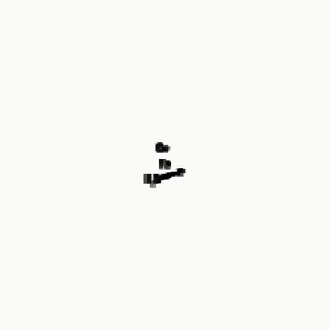 [BH2][Zr].[Co].[Fe]